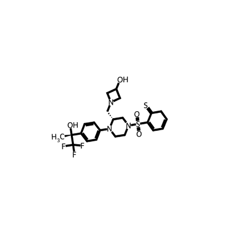 C[C@@](O)(c1ccc(N2CCN(S(=O)(=O)C3=CC=CCC3=S)C[C@H]2CN2CC(O)C2)cc1)C(F)(F)F